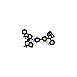 CC1(C)CCC(C)(C)c2c(N(c3ccc(-c4ccc5c(c4)Sc4ccccc4C54C5CC6CC7CC4C75C6)cc3)c3ccc4c(c3)C(C)(C)c3ccccc3-4)cccc21